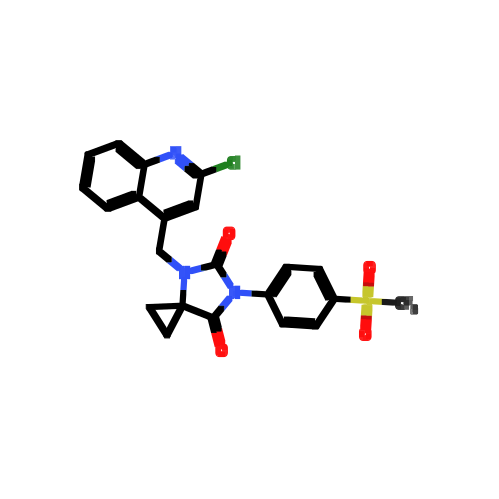 O=C1N(c2ccc(S(=O)(=O)C(F)(F)F)cc2)C(=O)C2(CC2)N1Cc1cc(Cl)nc2ccccc12